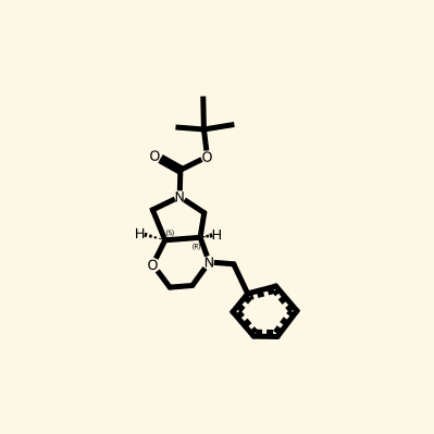 CC(C)(C)OC(=O)N1C[C@@H]2OCCN(Cc3ccccc3)[C@@H]2C1